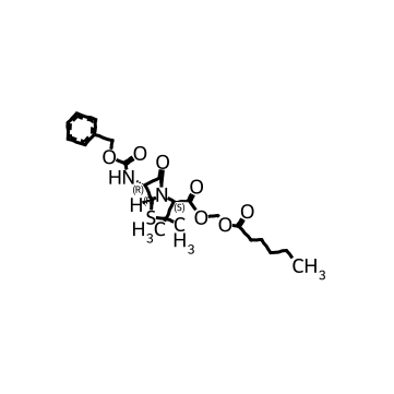 CCCCCC(=O)OCOC(=O)[C@@H]1N2C(=O)[C@@H](NC(=O)OCc3ccccc3)[C@H]2SC1(C)C